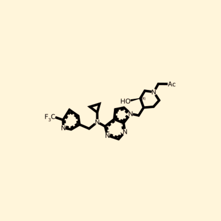 CC(=O)CN1CCC(Cn2ccc3c(N(Cc4ccc(C(F)(F)F)nc4)C4CC4)ncnc32)[C@@H](O)C1